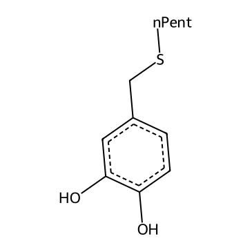 CCCCCSCc1ccc(O)c(O)c1